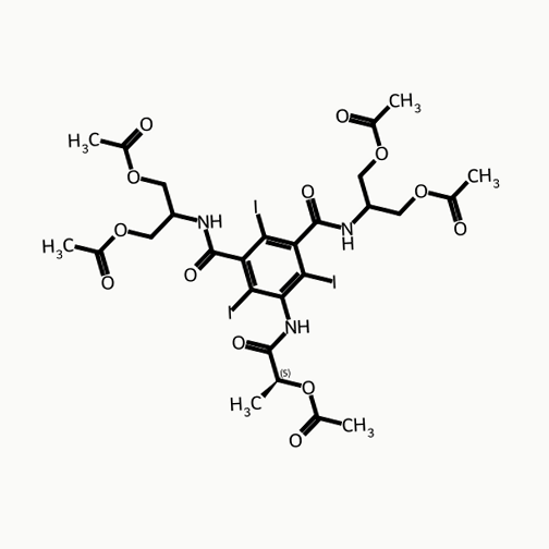 CC(=O)OCC(COC(C)=O)NC(=O)c1c(I)c(NC(=O)[C@H](C)OC(C)=O)c(I)c(C(=O)NC(COC(C)=O)COC(C)=O)c1I